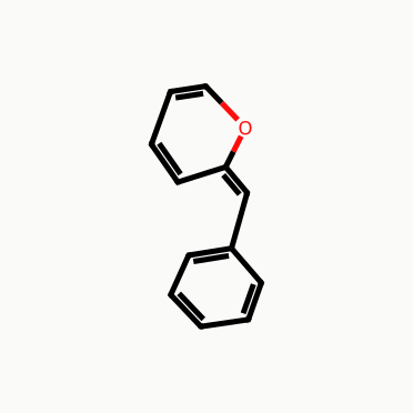 C1=COC(=Cc2ccccc2)C=C1